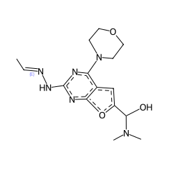 C/C=N/Nc1nc(N2CCOCC2)c2cc(C(O)N(C)C)oc2n1